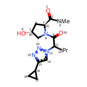 CNC(=O)[C@@H]1C[C@@H](O)CN1C(=O)C(C(C)C)n1cc(C2CC2)nn1